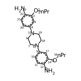 CCCOc1cc(N2CCN(c3ccc(N)c(OCCC)c3)CC2)ccc1N